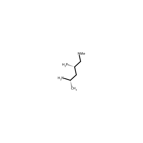 CNC[C@@H](P)C[C@H](C)N